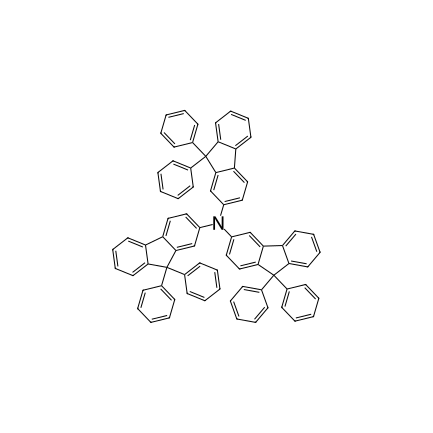 c1ccc(C2(c3ccccc3)c3ccccc3-c3cc(N(c4ccc5c(c4)C(c4ccccc4)(c4ccccc4)c4ccccc4-5)c4ccc5c(c4)C(c4ccccc4)(c4ccccc4)c4ccccc4-5)ccc32)cc1